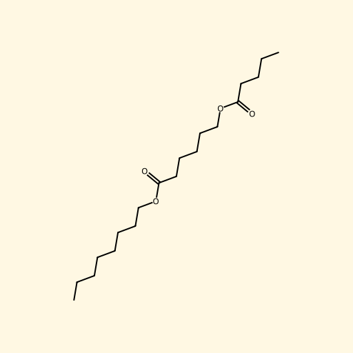 CCCCCCCCOC(=O)CCCCCOC(=O)CCCC